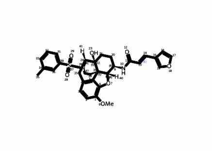 COc1ccc2c3c1O[C@H]1[C@H](NC(=O)/C=C/c4ccoc4)CC[C@@]4(O)[C@@H](C2)N(S(=O)(=O)c2cccc(C)c2)CC[C@]314